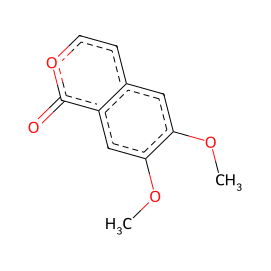 COc1cc2ccoc(=O)c2cc1OC